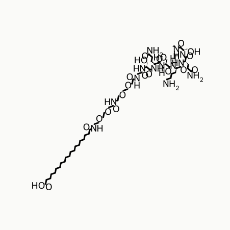 CNC(=O)[C@H](CO)NC(=O)[C@H](CCC(N)=O)NC(=O)[C@@H](CCCCN)NC(=O)[C@H](CO)NC(=O)[C@H](CCC(N)=O)NC(=O)[C@@H](CO)NC(=O)CNC(=O)COCCOCCNC(=O)COCCOCCNC(=O)CCCCCCCCCCCCCCCCCCC(=O)O